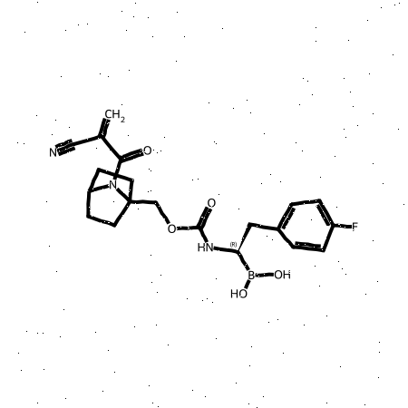 C=C(C#N)C(=O)N1C2CCC1(COC(=O)N[C@@H](Cc1ccc(F)cc1)B(O)O)CC2